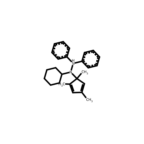 CC1=CC(C)(N(C2CCCCC2)[SiH](c2ccccc2)c2ccccc2)C(C)=C1